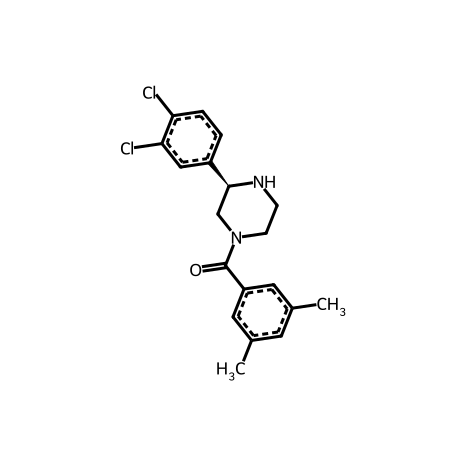 Cc1cc(C)cc(C(=O)N2CCN[C@H](c3ccc(Cl)c(Cl)c3)C2)c1